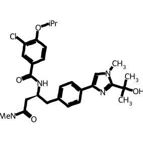 CNC(=O)C[C@H](Cc1ccc(-c2cn(C)c(C(C)(C)O)n2)cc1)NC(=O)c1ccc(OC(C)C)c(Cl)c1